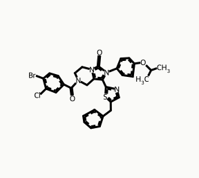 CC(C)Oc1ccc(-n2c(-c3ncc(Cc4ccccc4)s3)c3n(c2=O)CCN(C(=O)c2ccc(Br)c(Cl)c2)C3)cc1